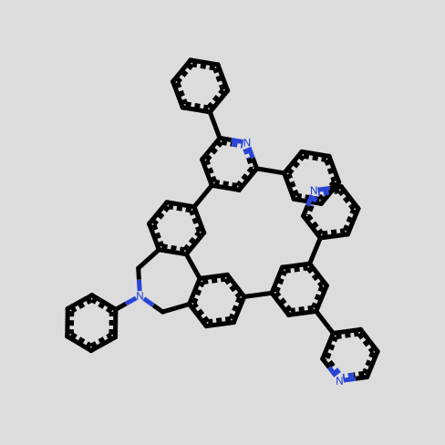 c1ccc(-c2cc(-c3ccc4c(c3)-c3cc(-c5cc(-c6cccnc6)cc(-c6cccnc6)c5)ccc3CN(c3ccccc3)C4)cc(-c3ccccc3)n2)cc1